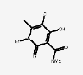 CCn1c(C)c(Cl)c(O)c(C(=O)NC)c1=O